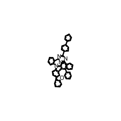 c1ccc(-c2ccc(-c3nc(-c4ccccc4)nc(-c4ccccc4-n4c5cccc(-c6ccccc6)c5c5c6oc7ccccc7c6ccc54)n3)cc2)cc1